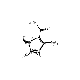 CCCc1nc(N)c(C(=O)OC)n1C